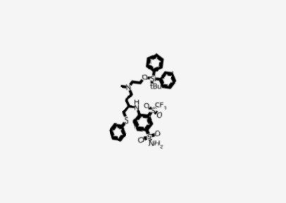 CN(CCO[Si](c1ccccc1)(c1ccccc1)C(C)(C)C)CCC(CSc1ccccc1)Nc1ccc(S(N)(=O)=O)cc1S(=O)(=O)C(F)(F)F